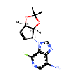 CC1(C)O[C@H]2[C@H](n3cnc4c(N)cnc(F)c43)C=C[C@H]2O1